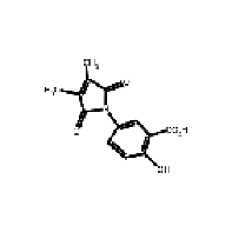 CC1=C(C)C(=O)N(c2ccc(O)c(C(=O)O)c2)C1=O